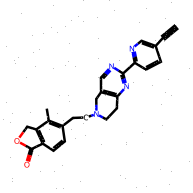 C#Cc1ccc(-c2ncc3c(n2)CCN(CCc2ccc4c(c2C)COC4=O)C3)nc1